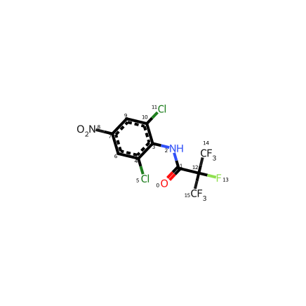 O=C(Nc1c(Cl)cc([N+](=O)[O-])cc1Cl)C(F)(C(F)(F)F)C(F)(F)F